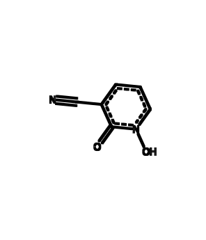 N#Cc1cccn(O)c1=O